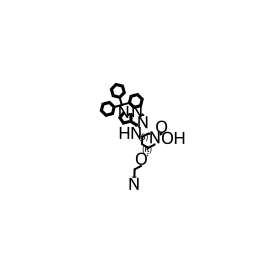 N#CCCOC[C@@H]1C[C@H](Nc2ncnc3c2ccn3C(c2ccccc2)(c2ccccc2)c2ccccc2)CN(C(=O)O)C1